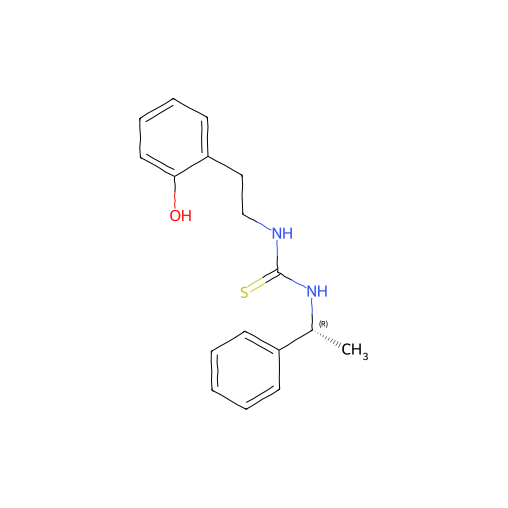 C[C@@H](NC(=S)NCCc1ccccc1O)c1ccccc1